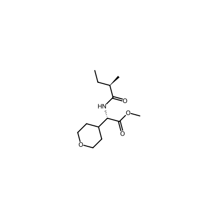 CC[C@@H](C)C(=O)N[C@H](C(=O)OC)C1CCOCC1